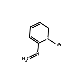 C=NC1=CC=CCN1CCC